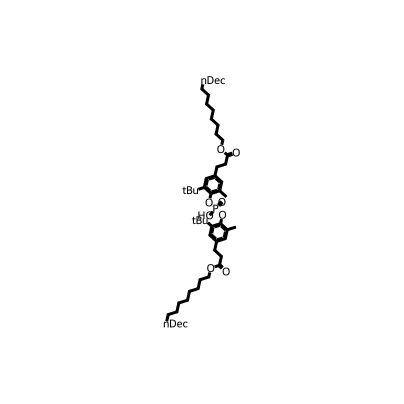 CCCCCCCCCCCCCCCCCCOC(=O)CCc1cc(C)c(OP(=O)(O)Oc2c(C)cc(CCC(=O)OCCCCCCCCCCCCCCCCCC)cc2C(C)(C)C)c(C(C)(C)C)c1